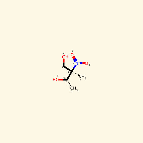 C[C@H](O)[C@@](C)(CO)[N+](=O)[O-]